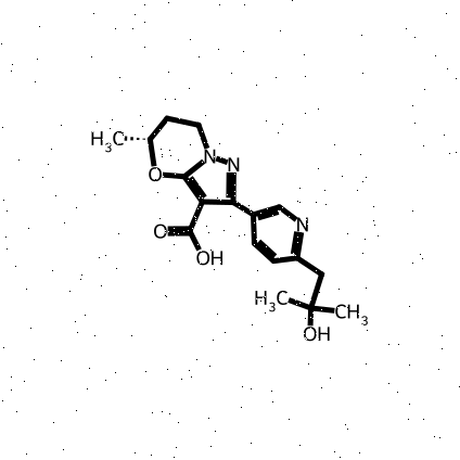 C[C@@H]1CCn2nc(-c3ccc(CC(C)(C)O)nc3)c(C(=O)O)c2O1